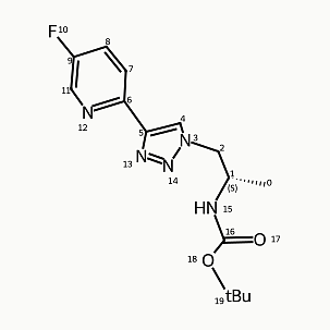 C[C@@H](Cn1cc(-c2ccc(F)cn2)nn1)NC(=O)OC(C)(C)C